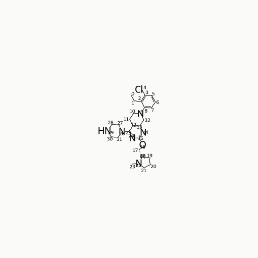 CCc1c(Cl)cccc1N1CCc2c(nc(OC[C@@H]3CCCN3C)nc2N2CCNCC2)C1